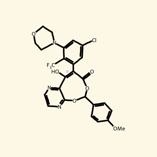 COc1ccc(C2OC(=O)/C(c3cc(Cl)cc(N4CCOCC4)c3C(F)(F)F)=C(/O)c3nccnc3O2)cc1